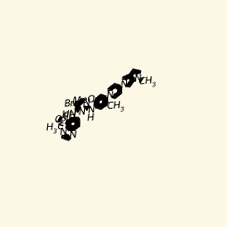 COc1cc(N2CCC(N3CC4CCN(C)C4C3)CC2)c(C)cc1Nc1ncc(Br)c(Nc2ccc3nccnc3c2P(C)(C)=O)n1